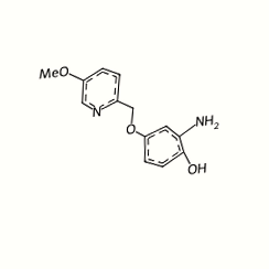 COc1ccc(COc2ccc(O)c(N)c2)nc1